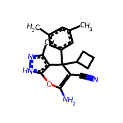 Cc1cc(C)cc(C2(C3CCC3)C(C#N)=C(N)Oc3[nH]nc(C)c32)c1